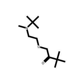 CN(CCOCC(=O)C(C)(C)C)C(C)(C)C